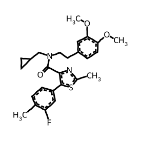 COc1ccc(CCN(CC2CC2)C(=O)c2nc(C)sc2-c2ccc(C)c(F)c2)cc1OC